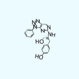 OC[C@@H](Cc1ccc(O)cc1)Nc1ncc2nnn(-c3ccccc3)c2n1